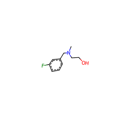 CN(CCO)Cc1cccc(F)c1